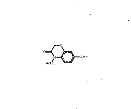 COc1ccc2c(c1)OCC(=O)N2OC(C)=O